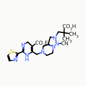 CCOC(=O)C1=C(CN2CCN3C(C2)CN(CC(C)(C)C(=O)O)N3C#N)NC(c2nccs2)=NC1